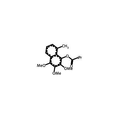 COc1c(OC)c(OC(=O)C(C)C)c2c(C)cccc2c1OC